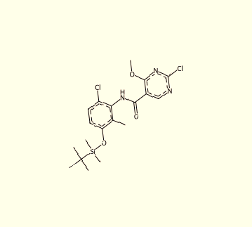 COc1nc(Cl)ncc1C(=O)Nc1c(Cl)ccc(O[Si](C)(C)C(C)(C)C)c1C